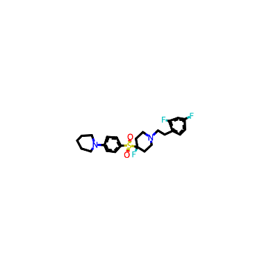 O=S(=O)(c1ccc(N2CCCCC2)cc1)C1(F)CCN(CCc2ccc(F)cc2F)CC1